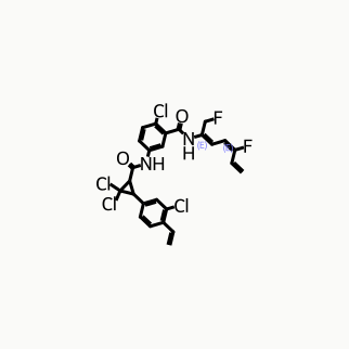 C=C/C(F)=C\C=C(/CF)NC(=O)c1cc(NC(=O)C2C(c3ccc(C=C)c(Cl)c3)C2(Cl)Cl)ccc1Cl